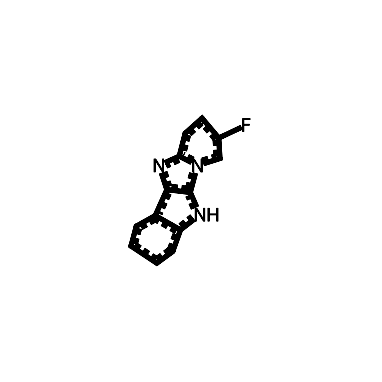 Fc1ccc2nc3c4ccccc4[nH]c3n2c1